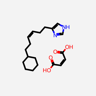 C(=C/CCC1CCCCC1)/CCc1c[nH]cn1.O=C(O)/C=C\C(=O)O